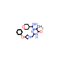 C=C1C(=O)NC(CN2CC(Oc3ccccc3)C2)=NN1C(=N)C1CCOCC1